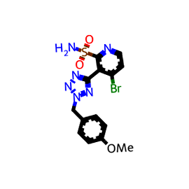 COc1ccc(Cn2nnc(-c3c(Br)ccnc3S(N)(=O)=O)n2)cc1